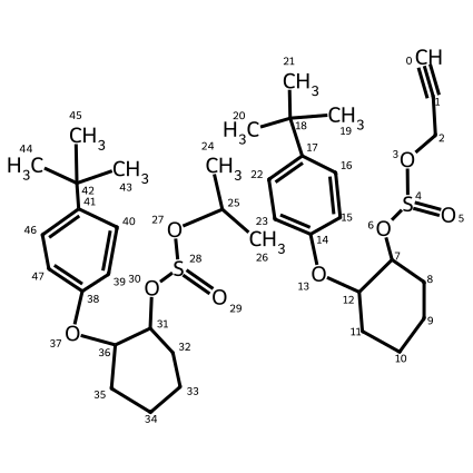 C#CCOS(=O)OC1CCCCC1Oc1ccc(C(C)(C)C)cc1.CC(C)OS(=O)OC1CCCCC1Oc1ccc(C(C)(C)C)cc1